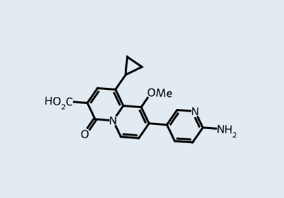 COc1c(-c2ccc(N)nc2)ccn2c(=O)c(C(=O)O)cc(C3CC3)c12